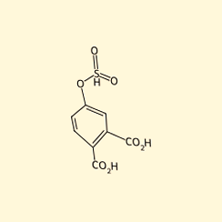 O=C(O)c1ccc(O[SH](=O)=O)cc1C(=O)O